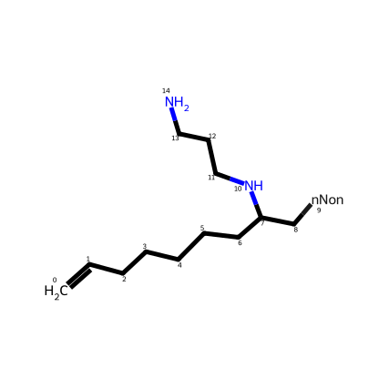 C=CCCCCCC(CCCCCCCCCC)NCCCN